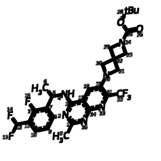 Cc1nc(NC(C)c2cccc(C(F)F)c2F)c2cc(N3CC4(CN(C(=O)OC(C)(C)C)C4)C3)c(C(F)(F)F)nc2n1